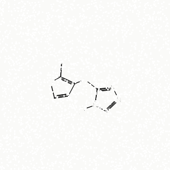 Cc1occc1Sc1nncn1N